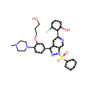 CN1CCN(c2ccc(-c3nn(S(=O)(=O)c4ccccc4)c4cnc(-c5c(O)cccc5F)cc34)cc2OCCCO)CC1